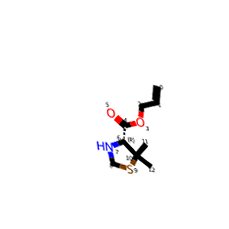 C=CCOC(=O)[C@H]1NCSC1(C)C